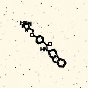 O=C(Nc1ccc2c(c1)Cc1ccccc1-2)c1ccc(OCc2nn[nH]n2)cc1